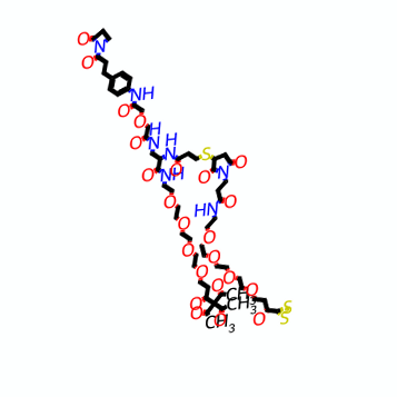 CC(=O)C(C(C)=O)(C(C)=O)C(=O)CCOCCOCCOCCOCCNC(=O)C(CNC(=O)COCC(=O)Nc1ccc(CCC(=O)N2CCC2=O)cc1)NC(=O)CCSC1CC(=O)N(CCC(=O)NCCOCCOCCOCCOCCC(=O)C2SS2)C1=O